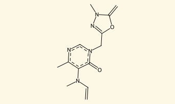 C=CN(C)c1c(C)ncn(CC2=NN(C)C(=C)O2)c1=O